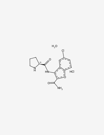 Cl.NC(=O)c1oc2ccc(Cl)cc2c1NC(=O)[C@@H]1CCCN1.O